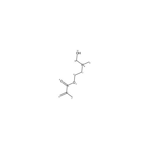 C=C(C)C(=O)OCCN(C)CO